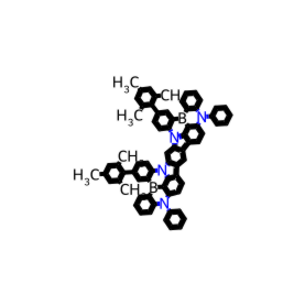 Cc1cc(C)c(-c2ccc3c(c2)B2c4ccccc4N(c4ccccc4)c4ccc5c6cc7c8ccc9c%10c8n(c7cc6n-3c5c42)-c2ccc(-c3c(C)cc(C)cc3C)cc2B%10c2ccccc2N9c2ccccc2)c(C)c1